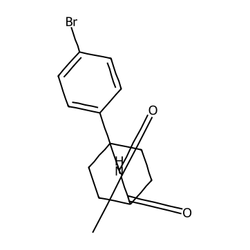 O=C1NC(=O)C2(c3ccc(Br)cc3)CCC1CC2